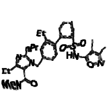 CCCc1nc(CC)c(C(=O)NC)n1Cc1ccc(-c2ccccc2S(=O)(=O)Nc2onc(C)c2C)c(CC)c1